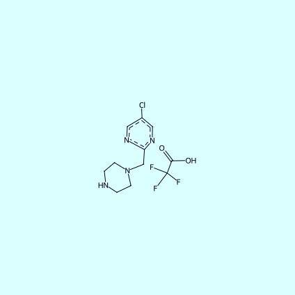 Clc1cnc(CN2CCNCC2)nc1.O=C(O)C(F)(F)F